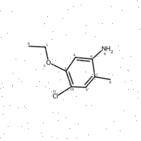 CCOc1cc(N)c(C)cc1Cl